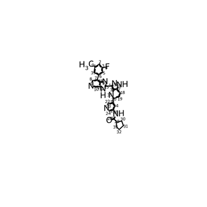 Cc1cc(F)cc(-c2cncc3[nH]c(-c4n[nH]c5ccc(-c6cncc(NC(=O)C7CCCC7)c6)nc45)nc23)c1